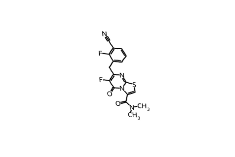 CN(C)C(=O)c1csc2nc(Cc3cccc(C#N)c3F)c(F)c(=O)n12